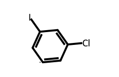 Clc1c[c]cc(I)c1